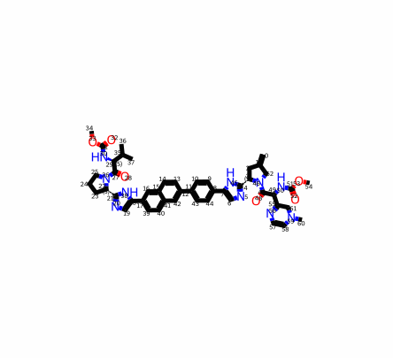 C=C1C[C@@H](c2ncc(-c3ccc(-c4ccc5cc(-c6cnc([C@@H]7CCCN7C(=O)[C@@H](NC(=O)OC)C(C)C)[nH]6)ccc5c4)cc3)[nH]2)N(C(=O)C(NC(=O)OC)C2=NC=CN(C)C2)C1